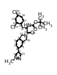 Cn1cc(-c2ccc3c(c2)CN(C(=O)[C@@H](Cc2ccc(Cl)cc2Cl)NC(=O)OC(C)(C)C)C3)cn1